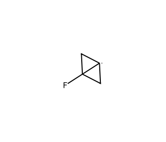 FC12C[C]1C2